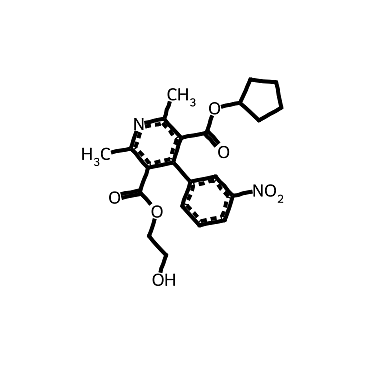 Cc1nc(C)c(C(=O)OC2CCCC2)c(-c2cccc([N+](=O)[O-])c2)c1C(=O)OCCO